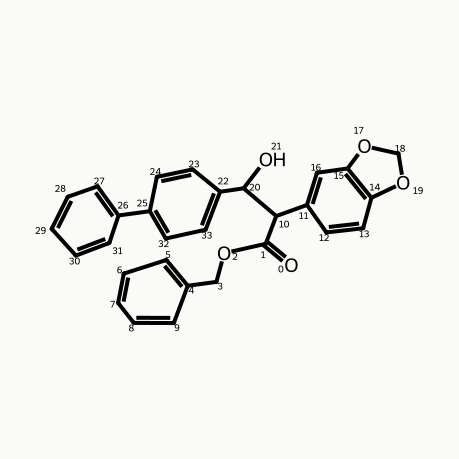 O=C(OCc1ccccc1)C(c1ccc2c(c1)OCO2)C(O)c1ccc(-c2ccccc2)cc1